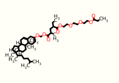 CCC(=O)OCCOCCOCCOC(=O)C(CC)CC(C)C(=O)OCOC1CC[C@@]2(C)C(=CC[C@H]3[C@]4(C)CC[C@](C)([C@H](C)CCCC(C)C)[C@H]4CC[C@@]32C)C1